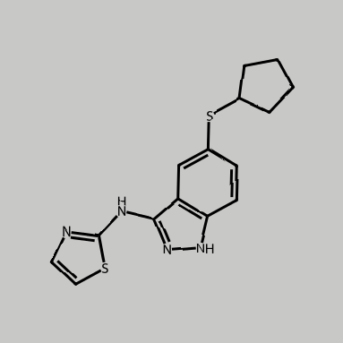 c1csc(Nc2n[nH]c3ccc(SC4CCCC4)cc23)n1